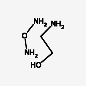 NCCO.NON